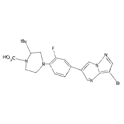 CC(C)(C)C1CN(c2ccc(-c3cnc4c(Br)cnn4c3)cc2F)CCN1C(=O)O